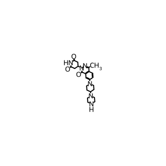 Cc1nn(C2CC(=O)NC(=O)C2)c(=O)c2cc(N3CCC(N4CCNCC4)CC3)ccc12